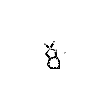 O=S1(=O)C=c2ccccc2=N1.[H+]